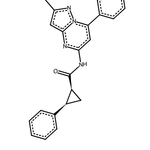 Cc1cc2nc(NC(=O)[C@H]3C[C@H]3c3ccccc3)cc(-c3ccccc3)n2n1